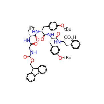 CC(C)C[C@@H](NC(=O)CNC(=O)OCC1c2ccccc2-c2ccccc21)C(=O)N[C@@H](Cc1ccc(OC(C)(C)C)cc1)C(=O)N[C@@H](Cc1ccc(OC(C)(C)C)cc1)C(=O)N[C@@H](Cc1ccccc1)C(=O)O